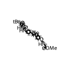 COC(=O)CNCCOc1ccc2c(c1)sc1nc(-c3ccc(NC(=O)Nc4cc(C(C)(C)C)on4)cc3)cn12